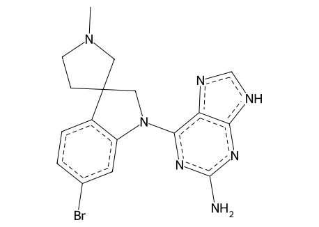 CN1CCC2(C1)CN(c1nc(N)nc3[nH]cnc13)c1cc(Br)ccc12